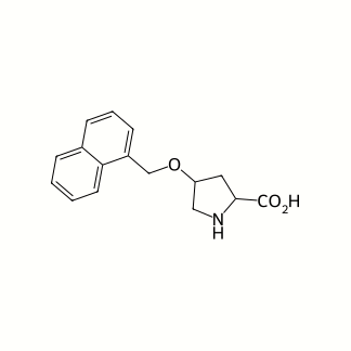 O=C(O)C1CC(OCc2cccc3ccccc23)CN1